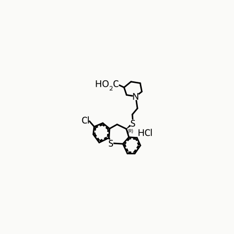 Cl.O=C(O)C1CCCN(CCS[C@@H]2Cc3cc(Cl)ccc3Sc3ccccc32)C1